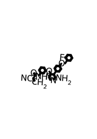 C=C(C#N)C(=O)Nc1cccc(Oc2ncnc(N)c2-c2ccc(OCc3ccccc3F)cc2)c1